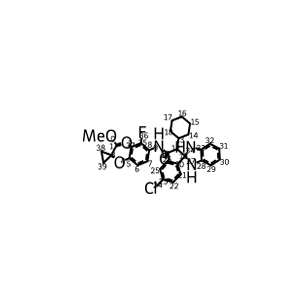 COC(=O)C1(Oc2ccc(NC(=O)C(C3CCCCC3)C3(c4ccc(Cl)cc4)Nc4ccccc4N3)c(F)c2)CC1